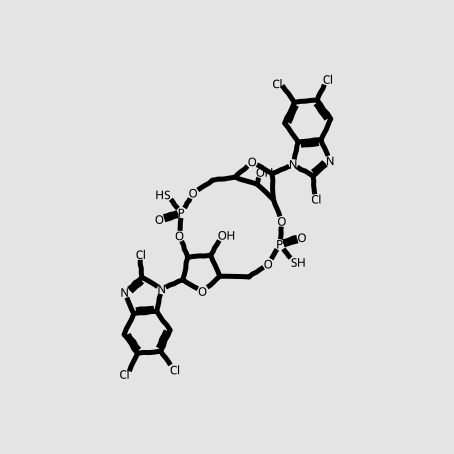 O=P1(S)OCC2OC(n3c(Cl)nc4cc(Cl)c(Cl)cc43)C(OP(=O)(S)OCC3OC(n4c(Cl)nc5cc(Cl)c(Cl)cc54)C(O1)C3O)C2O